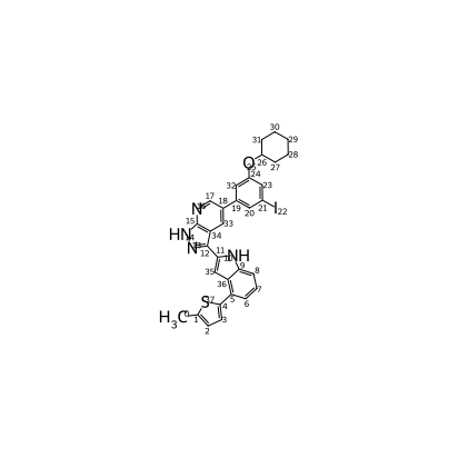 Cc1ccc(-c2cccc3[nH]c(-c4n[nH]c5ncc(-c6cc(I)cc(OC7CCCCC7)c6)cc45)cc23)s1